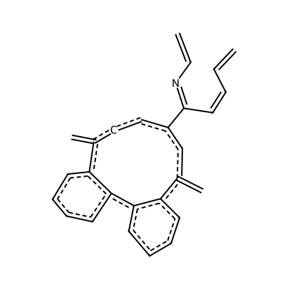 C=C/C=C\C(=N/C=C)c1ccc(=C)c2ccccc2c2ccccc2c(=C)c1